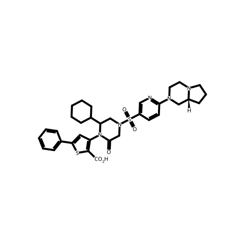 O=C(O)c1sc(-c2ccccc2)cc1N1C(=O)CN(S(=O)(=O)c2ccc(N3CCN4CCC[C@@H]4C3)nc2)CC1C1CCCCC1